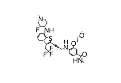 CNC(=O)c1ccc(NCC#Cc2sc3c(NC4CCN(C)CC4F)cccc3c2CC(F)(F)F)c(OCCOC)c1